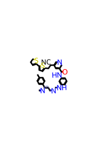 C=N/C(=C\C=N/CNc1cccc(NC(=O)c2cncc(C(C#N)Cc3ccc(C4=CCCS4)s3)c2)c1)c1ccc(C)cc1